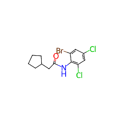 O=C(CC1CCCC1)Nc1c(Cl)cc(Cl)cc1Br